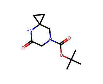 CC(C)(C)OC(=O)N1CC(=O)NC2(CC2)C1